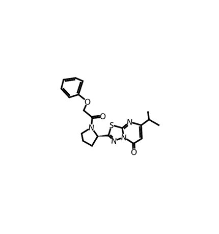 CC(C)c1cc(=O)n2nc([C@H]3CCCN3C(=O)COc3ccccc3)sc2n1